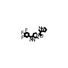 C[C@H]1c2nn(C)c(-c3cc(F)c(F)c(F)c3)c2CCN1C(=O)c1cnn2c1CCC2